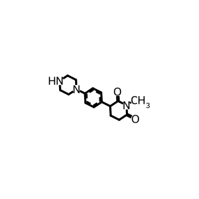 CN1C(=O)CCC(c2ccc(N3CCNCC3)cc2)C1=O